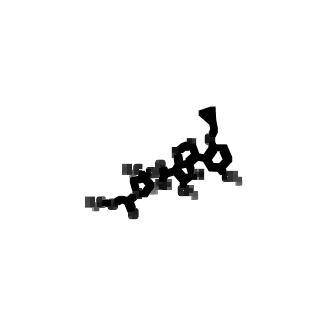 COCC(=O)N1C[C@@H](NC(=O)c2c(C)[nH]c3c(-c4cc(C)ccc4OCC4CC4)ncnc23)C(C)(C)C1